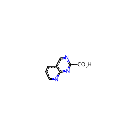 O=C(O)c1ncc2cccnc2n1